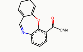 COC(=O)c1cccc2c1OC1=CCCC=C1C=N2